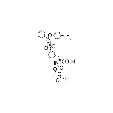 CC(OC(=O)N[C@@H](Cc1cccc(S(=O)(=O)N2CC(Oc3ccc(C(F)(F)F)cc3)(c3ccccc3)C2)c1)C(=O)O)OC(=O)C(C)C